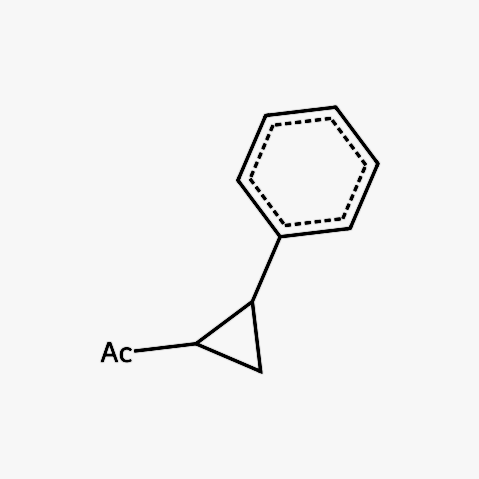 CC(=O)C1CC1c1ccccc1